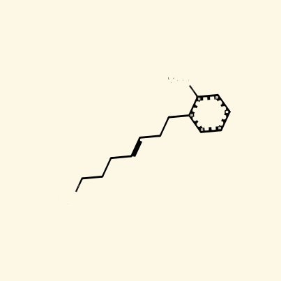 COc1ccccc1CCC=CCCCC(=O)O